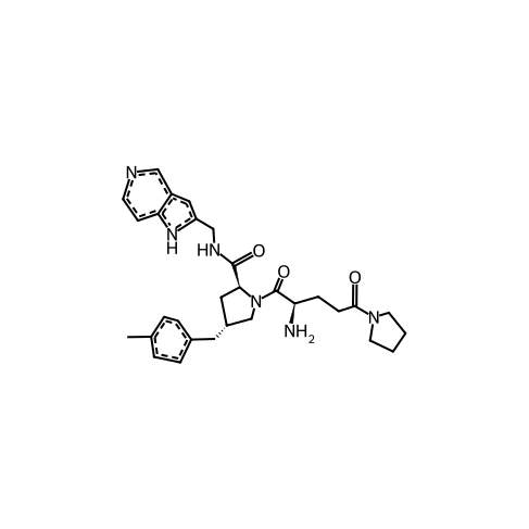 Cc1ccc(C[C@@H]2C[C@@H](C(=O)NCc3cc4cnccc4[nH]3)N(C(=O)[C@H](N)CCC(=O)N3CCCC3)C2)cc1